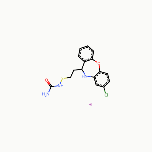 I.NC(=O)NSCCC1Nc2cc(Cl)ccc2Oc2ccccc21